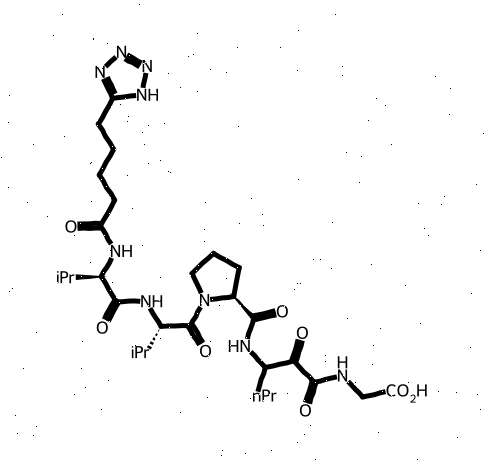 CCCC(NC(=O)[C@@H]1CCCN1C(=O)[C@@H](NC(=O)[C@H](NC(=O)CCCCc1nnn[nH]1)C(C)C)C(C)C)C(=O)C(=O)NCC(=O)O